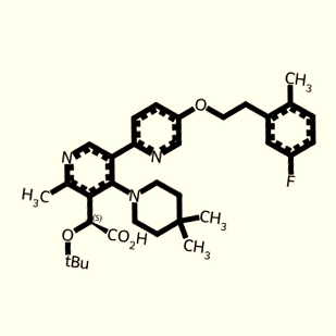 Cc1ccc(F)cc1CCOc1ccc(-c2cnc(C)c([C@H](OC(C)(C)C)C(=O)O)c2N2CCC(C)(C)CC2)nc1